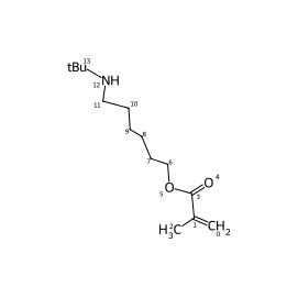 C=C(C)C(=O)OCCCCCCNC(C)(C)C